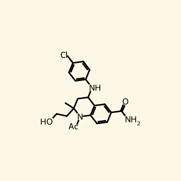 CC(=O)N1c2ccc(C(N)=O)cc2C(Nc2ccc(Cl)cc2)CC1(C)CCO